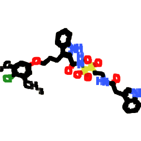 Cc1cc(OCCCc2c(C(=O)NS(=O)(=O)S(=O)(=O)CCNC(=O)Cc3c[nH]c4ccccc34)[nH]c3ccccc23)cc(C)c1Cl